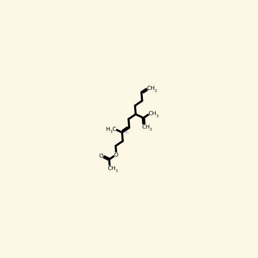 C=CCCC(C/C=C(\C)CCOC(C)=O)C(=C)C